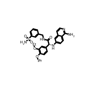 CCOc1cc([C@@H](Nc2ccc3c(N)nccc3c2)C(=O)NCc2cccc(S(N)(=O)=O)c2)ccc1OC(C)C